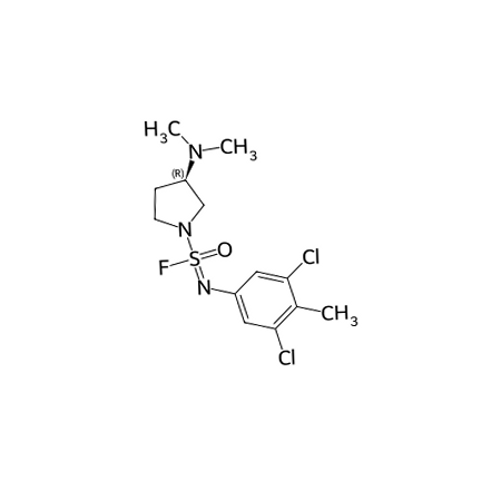 Cc1c(Cl)cc(N=S(=O)(F)N2CC[C@@H](N(C)C)C2)cc1Cl